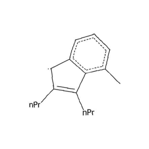 CCCC1=C(CCC)c2c(C)cccc2[CH]1